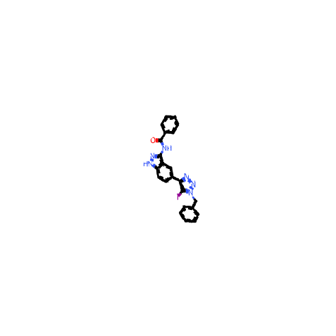 O=C(Nc1n[nH]c2ccc(-c3nnn(Cc4ccccc4)c3I)cc12)c1ccccc1